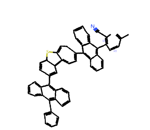 C=C(C)/C=C\C(=C(/C)C#N)c1c2ccccc2c(C2=CC=C3C(=CC2)SC2C=CC(c4c5ccccc5c(-c5ccccc5)c5ccccc45)=CC32)c2ccccc12